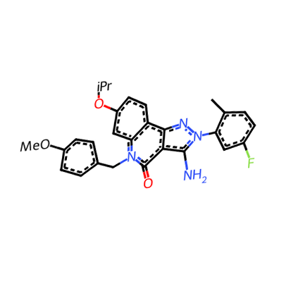 COc1ccc(Cn2c(=O)c3c(N)n(-c4cc(F)ccc4C)nc3c3ccc(OC(C)C)cc32)cc1